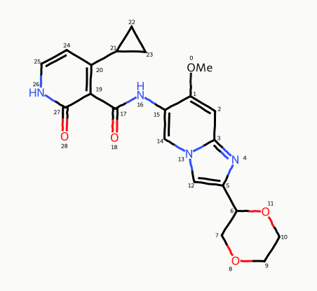 COc1cc2nc(C3COCCO3)cn2cc1NC(=O)c1c(C2CC2)cc[nH]c1=O